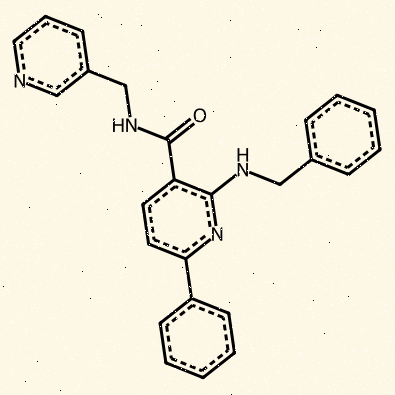 O=C(NCc1cccnc1)c1ccc(-c2ccccc2)nc1NCc1ccccc1